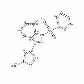 O=Cc1ccc(-c2cn(S(=O)(=O)c3ccccc3)c3c(F)cccc23)s1